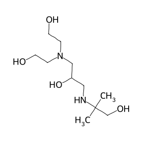 CC(C)(CO)NCC(O)CN(CCO)CCO